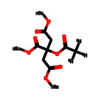 [2H]C([2H])([2H])C(=O)OC(CC(=O)OCCCC)(CC(=O)OCCCC)C(=O)OCCCC